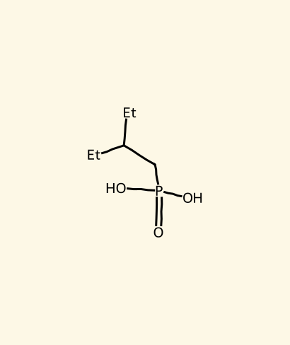 CCC(CC)CP(=O)(O)O